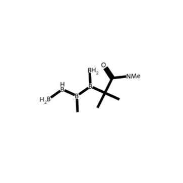 BBB(C)B(B)C(C)(C)C(=O)NC